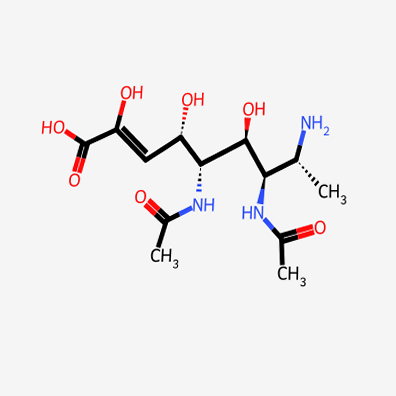 CC(=O)N[C@@H]([C@H](O)[C@H](NC(C)=O)[C@@H](O)/C=C(\O)C(=O)O)[C@@H](C)N